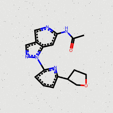 CC(=O)Nc1cc2c(cn1)cnn2-c1cccc(C2CCOC2)n1